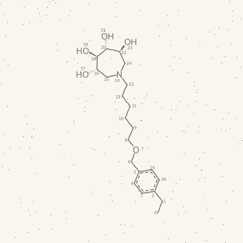 CCc1ccc(COCCCCCCN2C[C@H](O)[C@@H](O)[C@H](O)[C@@H](O)C2)cc1